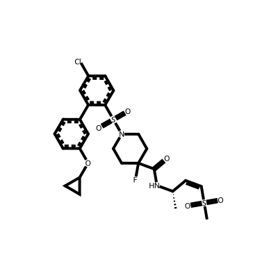 C[C@@H](/C=C\S(C)(=O)=O)NC(=O)C1(F)CCN(S(=O)(=O)c2ccc(Cl)cc2-c2cccc(OC3CC3)c2)CC1